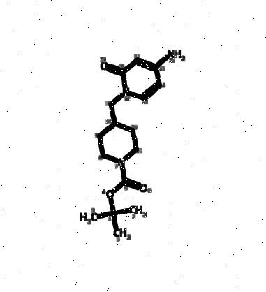 CC(C)(C)OC(=O)N1CCC(Cn2ccc(N)cc2=O)CC1